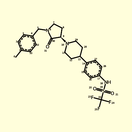 Cc1ccc(CN2CC[C@@H](N3CCC(c4ccc(NS(=O)(=O)C(F)(F)F)cc4)CC3)C2=O)cc1